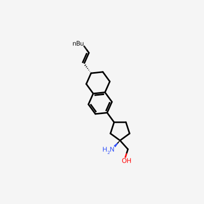 CCCC/C=C/[C@@H]1CCc2cc(C3CC[C@](N)(CO)C3)ccc2C1